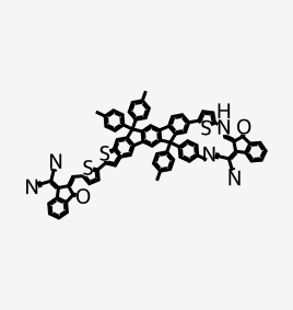 Cc1ccc(C2(c3ccc(C)cc3)c3cc(-c4ccc(N/C=C5\C(=O)c6ccccc6C5=C(C#N)C#N)s4)ccc3-c3cc4c(cc32)-c2cc3cc(-c5ccc(/C=C6\C(=O)c7ccccc7C6=C(C#N)C#N)s5)sc3cc2C4(c2ccc(C)cc2)c2ccc(C)cc2)cc1